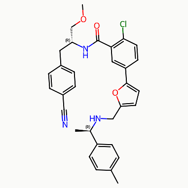 COC[C@@H](Cc1ccc(C#N)cc1)NC(=O)c1cc(-c2ccc(CN[C@H](C)c3ccc(C)cc3)o2)ccc1Cl